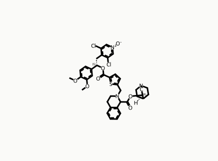 COc1ccc([C@H](Cc2c(Cl)c[n+]([O-])cc2Cl)OC(=O)c2ccc(CN3CCc4ccccc4C3C(=O)O[C@H]3CN4CCC3CC4)s2)cc1OC